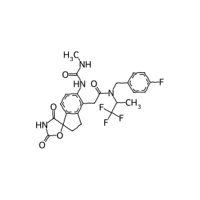 CNC(=O)Nc1ccc2c(c1CC(=O)N(Cc1ccc(F)cc1)C(C)C(F)(F)F)CCC21OC(=O)NC1=O